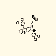 CCN(CC)CCC/N=c1\cc2n(-c3ccc(Cl)c(Cl)c3)c3ccccc3nc-2cc1Nc1ccc(Cl)c(Cl)c1